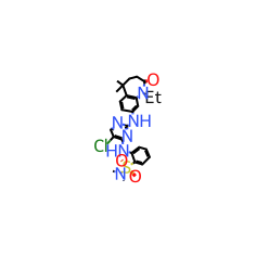 CCN1C(=O)CCC(C)(C)c2ccc(Nc3ncc(Cl)c(Nc4ccccc4S(=O)(=O)N(C)C)n3)cc21